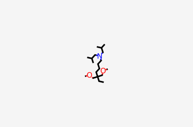 CCC(CCCCN(CC(C)C)CC(C)C)(COC)COC